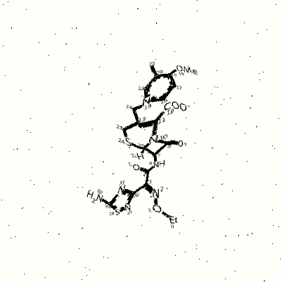 CCON=C(C(=O)NC1C(=O)N2C(C(=O)[O-])=C(C[n+]3ccc(OC)c(C)c3)CS[C@@H]12)c1nsc(N)n1